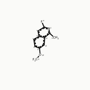 Cc1nc(F)cc2ccc(OC(F)(F)F)cc12